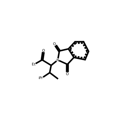 CCC(=O)C(C(C)C(C)C)N1C(=O)c2ccccc2C1=O